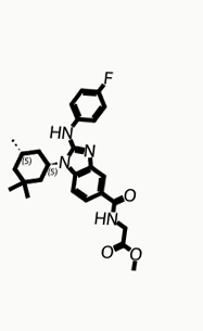 COC(=O)CNC(=O)c1ccc2c(c1)nc(Nc1ccc(F)cc1)n2[C@H]1C[C@@H](C)CC(C)(C)C1